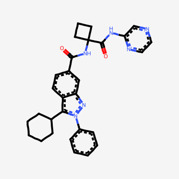 O=C(NC1(C(=O)Nc2cnccn2)CCC1)c1ccc2c(C3CCCCC3)n(-c3ccccc3)nc2c1